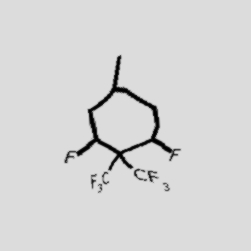 CC1CC(F)C(C(F)(F)F)(C(F)(F)F)C(F)C1